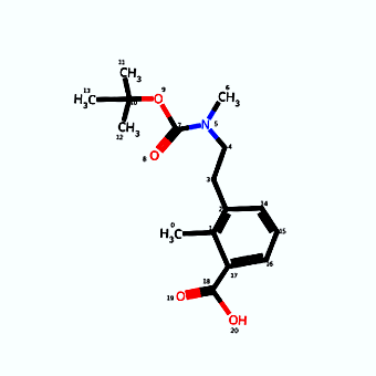 Cc1c(CCN(C)C(=O)OC(C)(C)C)cccc1C(=O)O